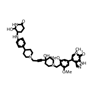 COc1cc(-c2cn(C)c(=O)c3[nH]ncc23)cc(OC)c1CN1CCC(O)(C#CCN2CCC(c3ccc(NC4CCC(=O)NC4O)cc3)CC2)CC1